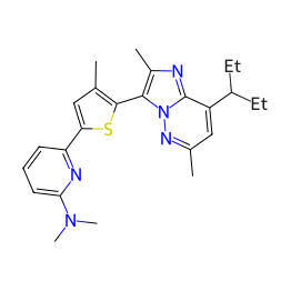 CCC(CC)c1cc(C)nn2c(-c3sc(-c4cccc(N(C)C)n4)cc3C)c(C)nc12